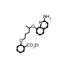 CCOC(=O)c1ccccc1OCCCC(C)Oc1cccc2ccc(N)nc12